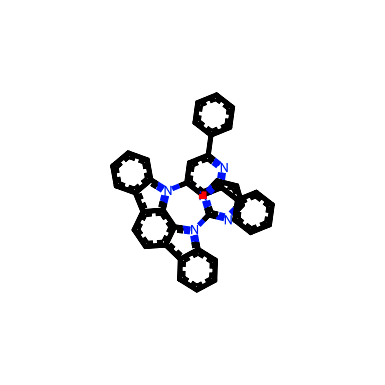 c1ccc(-c2cc(-n3c4ccccc4c4ccc5c6ccccc6n(-c6ncccn6)c5c43)cc(-c3ccccc3)n2)cc1